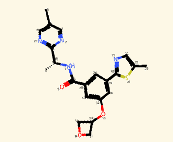 Cc1cnc([C@@H](C)NC(=O)c2cc(OC3COC3)cc(-c3ncc(C)s3)c2)nc1